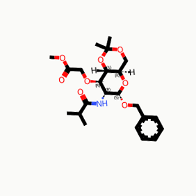 COC(=O)CO[C@@H]1[C@@H](NC(=O)C(C)C)[C@@H](OCc2ccccc2)O[C@@H]2COC(C)(C)O[C@@H]12